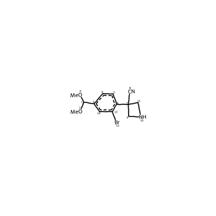 COC(OC)c1ccc(C2(C#N)CNC2)c(Br)c1